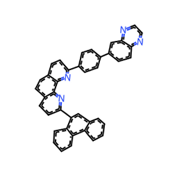 c1ccc2c(c1)cc(-c1ccc3ccc4ccc(-c5ccc(-c6ccc7nccnc7c6)cc5)nc4c3n1)c1ccccc12